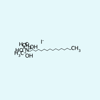 CCCCCCCCCCCCCCCC[N+](C(C)O)(C(C)O)C(C)O.[I-]